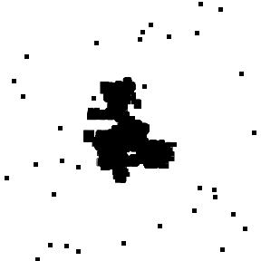 CC[C@@H]1Cc2sccc2CN1C(=O)c1cc(OC)c(OCc2cc(COc3cc(N)c(C(=O)N4Cc5ccsc5C[C@@H]4CC)cc3OC)cc(OS(=O)(=O)Oc3cc(C(=O)N(C)CCOCCN=[N+]=[N-])ccc3O[C@@H]3O[C@H](COC(C)=O)[C@H](OC(C)=O)[C@H](OC(C)=O)[C@H]3OC(C)=O)c2)cc1N